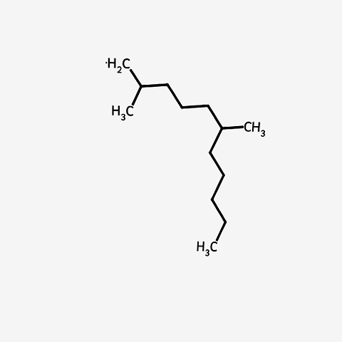 [CH2]C(C)CCCC(C)CCCCC